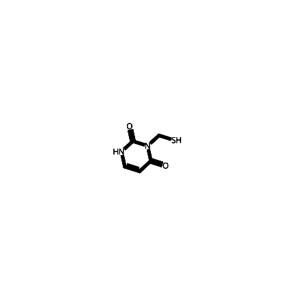 O=c1cc[nH]c(=O)n1CS